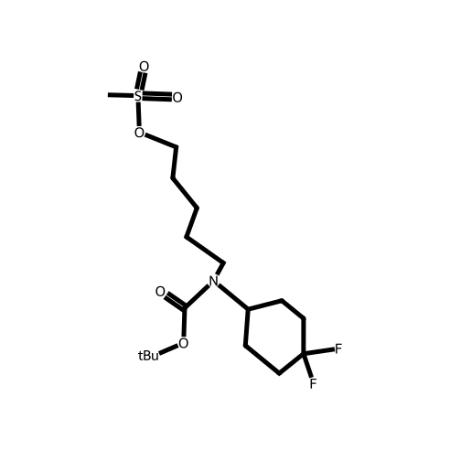 CC(C)(C)OC(=O)N(CCCCCOS(C)(=O)=O)C1CCC(F)(F)CC1